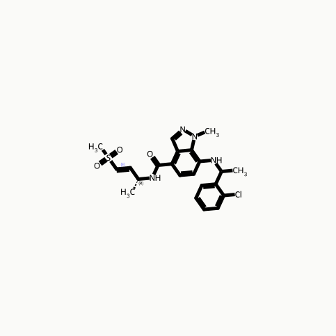 CC(Nc1ccc(C(=O)N[C@H](C)/C=C/S(C)(=O)=O)c2cnn(C)c12)c1ccccc1Cl